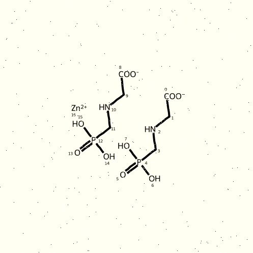 O=C([O-])CNCP(=O)(O)O.O=C([O-])CNCP(=O)(O)O.[Zn+2]